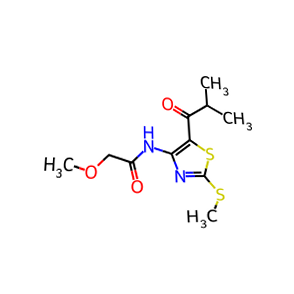 COCC(=O)Nc1nc(SC)sc1C(=O)C(C)C